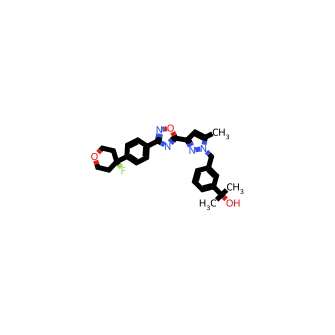 Cc1cc(-c2nc(-c3ccc(C4(F)CCOCC4)cc3)no2)nn1Cc1cccc(C(C)(C)O)c1